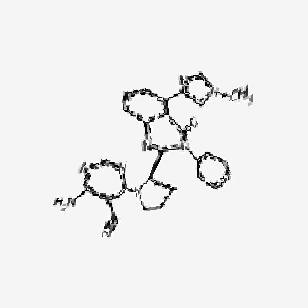 Cn1cnc(-c2cccc3nc(C4CCCN4c4ncnc(N)c4C#N)n(-c4ccccc4)c(=O)c23)c1